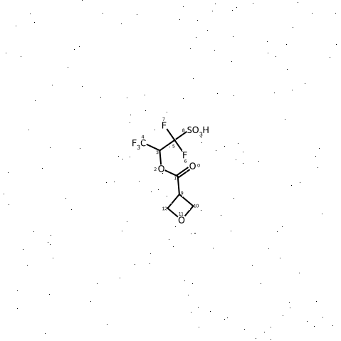 O=C(OC(C(F)(F)F)C(F)(F)S(=O)(=O)O)C1COC1